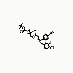 CC(C)(C)OC(=O)N1CC2(COC(CCN(Cc3ccc(Cl)c(F)c3)c3ccc(C#N)cc3)OC2)C1